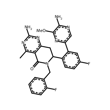 COc1nc(-c2cc(F)ccc2C2Cc3nc(N)nc(C)c3C(=O)N2Cc2ccccc2F)cnc1N